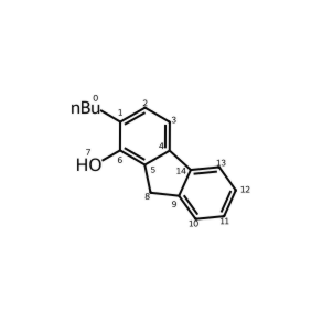 CCCCc1ccc2c(c1O)Cc1ccccc1-2